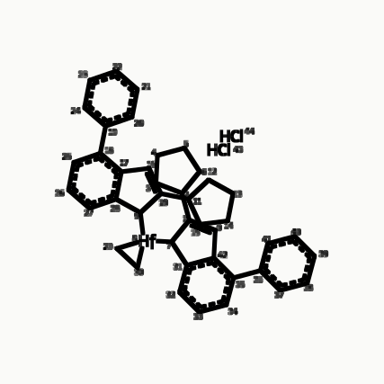 C1=C(C2CCCC2)[CH]([Hf]2([CH]3C(C4CCCC4)=Cc4c(-c5ccccc5)cccc43)[CH2][CH2]2)c2cccc(-c3ccccc3)c21.Cl.Cl